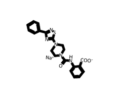 O=C([O-])c1ccccc1NC(=O)N1CCN(c2nc(-c3ccccc3)ns2)CC1.[Na+]